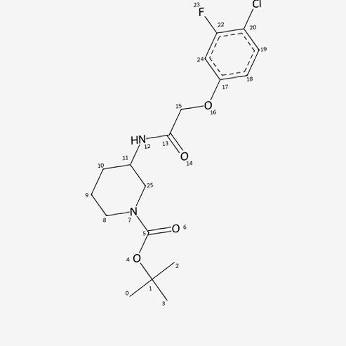 CC(C)(C)OC(=O)N1CCCC(NC(=O)COc2ccc(Cl)c(F)c2)C1